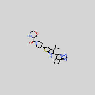 CC(C)c1c(-c2cn3ncnc3c3c2CCC3)[nH]c2sc(C3CCN(C(=O)[C@H]4COCCN4)CC3)cc12